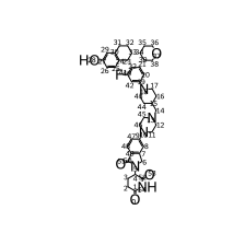 O=C1CCC(N2Cc3cc(N4CCN(CC5CCN(c6ccc([C@@H]7c8ccc(O)cc8CC[C@@H]7C7CCOCC7)c(F)c6)CC5)CC4)ccc3C2=O)C(=O)N1